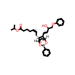 CC(C)OC(=O)CCC/C=C\C[C@@H]1C(/C=C/C(O)COc2ccccc2)[C@H]2C[C@@H]1OB(c1ccccc1)O2